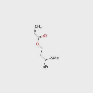 C=CC(=O)OCCC(CCC)SC